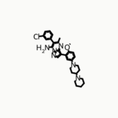 COc1ccc(N2CCC(N3CCCCC3)CC2)cc1-c1cnn2c(N)c(-c3cccc(Cl)c3)c(C)nc12